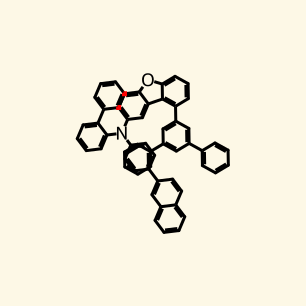 c1ccc(-c2cc(-c3ccccc3)cc(-c3cccc4oc5ccc(N(c6ccc(-c7ccc8ccccc8c7)cc6)c6ccccc6-c6ccccc6)cc5c34)c2)cc1